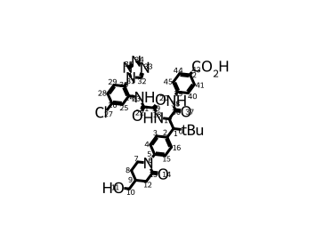 CC(C)(C)C(c1ccc(N2CCC(CO)CC2=O)cc1)C(NC(=O)C(=O)Nc1cc(Cl)ccc1-n1cnnn1)C(=O)Nc1ccc(C(=O)O)cc1